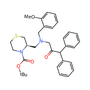 COc1ccccc1CN(CC(=O)C(c1ccccc1)c1ccccc1)C[C@@H]1CSCCN1C(=O)OC(C)(C)C